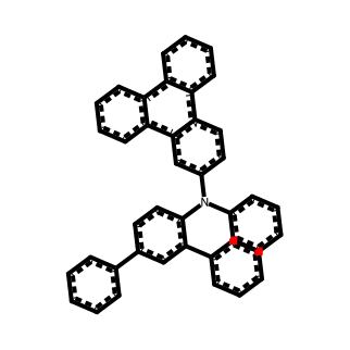 c1ccc(-c2ccc(N(c3ccccc3)c3ccc4c5ccccc5c5ccccc5c4c3)c(-c3ccccc3)c2)cc1